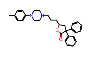 Cc1ccc(N2CCN(CCCC3CC(c4ccccc4)(c4ccccc4)C(=O)O3)CC2)cc1